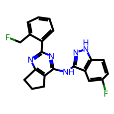 FCc1ccccc1-c1nc2c(c(Nc3n[nH]c4ccc(F)cc34)n1)CCC2